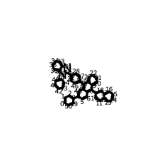 c1ccc(-c2ccc3c(-c4ccc5ccccc5c4)c4ccccc4c(-c4ccc(-c5nc6ccccc6n5-c5ccccc5)cc4)c3c2)cc1